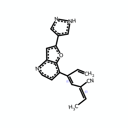 C=C/C(=C\C(C#N)=C/C)c1ccnc2cc(-c3cn[nH]c3)oc12